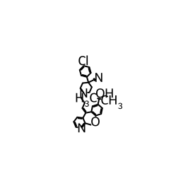 CC(C)(O)c1ccc2c(c1)C(=CCCN1CCC(C#N)(c3ccc(Cl)cc3)CC1)c1cccnc1CO2